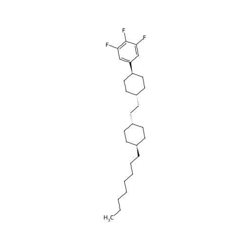 CCCCCCCC[C@H]1CC[C@H](CC[C@H]2CC[C@H](c3cc(F)c(F)c(F)c3)CC2)CC1